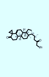 CC(C)CC(=O)C[C@@H](C)[C@H]1CC[C@H]2[C@@H]3CC=C4C5(CC5)C(=O)CC[C@]4(C)[C@H]3CC[C@]12C